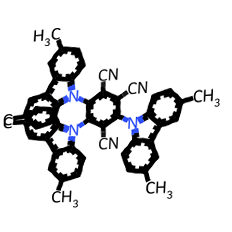 Cc1ccc2c(c1)c1cc(C)ccc1n2-c1c(C#N)c(C#N)c(-n2c3ccc(C)cc3c3cc(C)ccc32)c(-n2c3ccc(C)cc3c3cc(C)ccc32)c1C#N